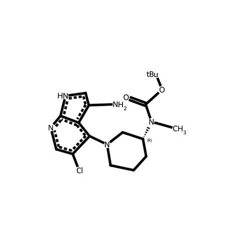 CN(C(=O)OC(C)(C)C)[C@@H]1CCCN(c2c(Cl)cnc3[nH]cc(N)c23)C1